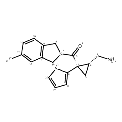 NC[C@@H]1C[C@@]1(C(=O)N1Cc2ccc(F)cc2C1)c1cccs1